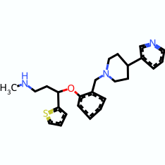 CNCCC(Oc1ccccc1CN1CCC(c2cccnc2)CC1)c1cccs1